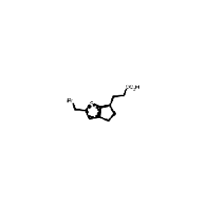 CC(C)Cc1cc2c(s1)C(CCC(=O)O)CC2